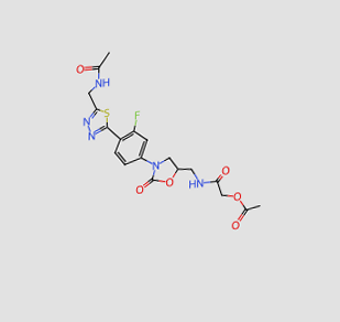 CC(=O)NCc1nnc(-c2ccc(N3CC(CNC(=O)COC(C)=O)OC3=O)cc2F)s1